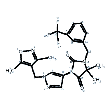 Cc1noc(C)c1Cn1cc(N2C(=O)N(Cc3cccc(C(F)(F)F)c3)C(C)(C)C2=O)cn1